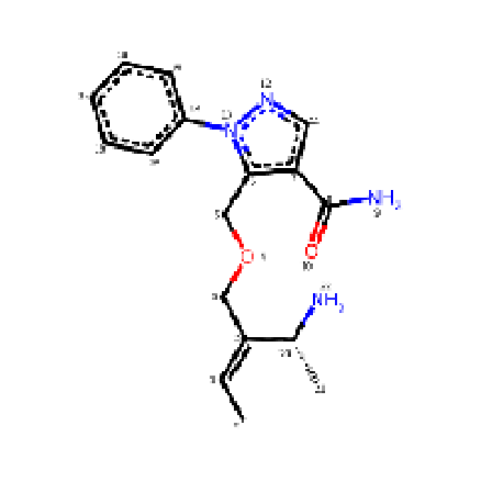 C/C=C(/COCc1c(C(N)=O)cnn1-c1ccccc1)[C@@H](C)N